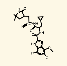 COc1c(Cl)cc(F)c2[nH]c(C(=O)NC(CC3CC3)C(=O)N[C@H](C#N)CC3CC(C)(C)NC3=O)cc12